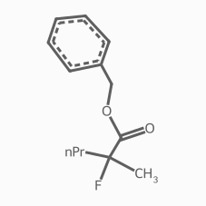 CCCC(C)(F)C(=O)OCc1ccccc1